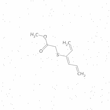 C=C/C=C(\C=C)SCC(=O)OC